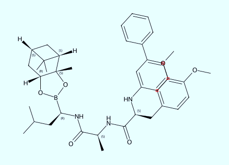 COc1ccc(C[C@H](Nc2cccc(-c3ccccc3)c2)C(=O)N[C@@H](C)C(=O)N[C@@H](CC(C)C)B2O[C@@H]3C[C@@H]4C[C@@H](C4(C)C)[C@]3(C)O2)cc1OC